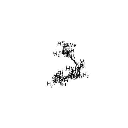 CNC[C@@](C)(CS)NCC(N)(CS)NC[C@@](C)(CS)NCCCCNC[C@@](C)(CS)NC[C@@](N)(CS)NC[C@@](C)(CS)NCCCNC[C@@](C)(CS)NC[C@@](N)(CS)NC[C@@](C)(CS)NC